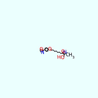 Cc1noc(CCCCCCCOc2ccc(C3=NCCO3)cc2)c1CO